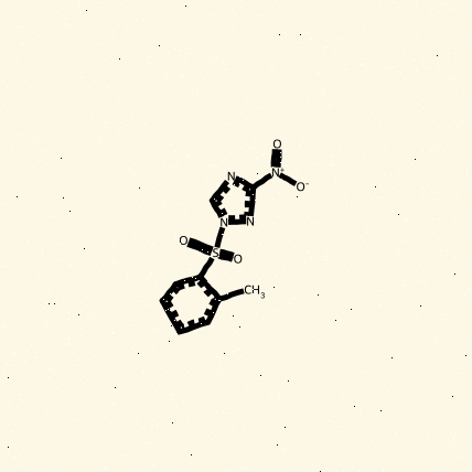 Cc1ccccc1S(=O)(=O)n1cnc([N+](=O)[O-])n1